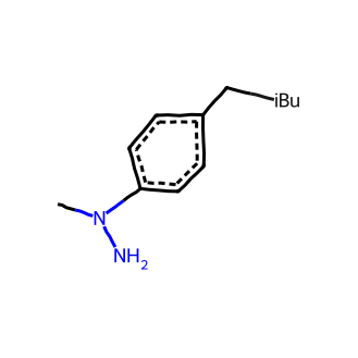 CCC(C)Cc1ccc(N(C)N)cc1